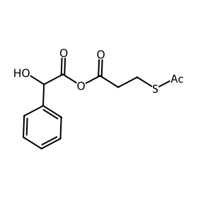 CC(=O)SCCC(=O)OC(=O)C(O)c1ccccc1